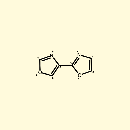 [c]1cnc(-c2cocn2)o1